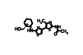 CC(=O)Nc1nc(C)c(-c2csc(N[C@H]3CCCC[C@H]3CO)n2)s1